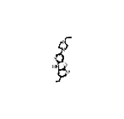 CCc1cc(Nc2ccc(N3CCN(CC)CC3)cn2)c(=O)n(C)c1